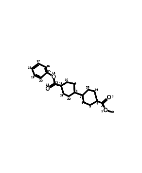 COC(=O)C1CCC(C2CCC(C(=O)Oc3ccccc3)CC2)CC1